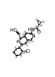 C#Cc1nc(-c2ccccc2Cl)cc2cnc(NC(=O)C3CC3)cc12